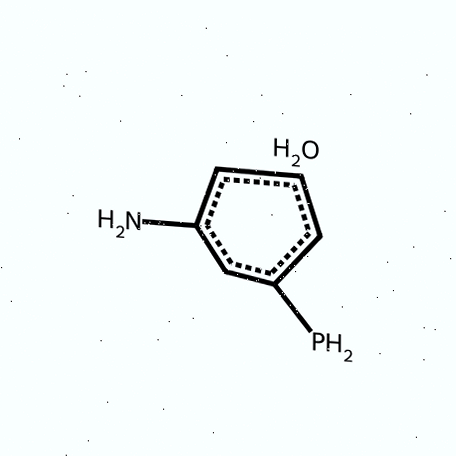 Nc1cccc(P)c1.O